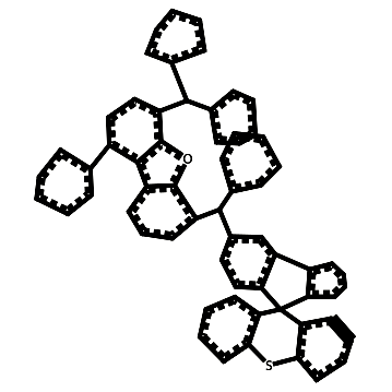 c1ccc2c(c#1)C1(c3ccccc3S2)c2ccccc2-c2cc(C(c3ccccc3)c3cccc4c3oc3c(C(c5ccccc5)c5ccccc5)ccc(-c5ccccc5)c34)ccc21